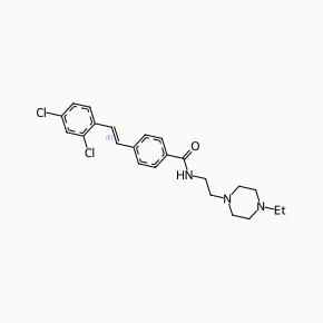 CCN1CCN(CCNC(=O)c2ccc(/C=C/c3ccc(Cl)cc3Cl)cc2)CC1